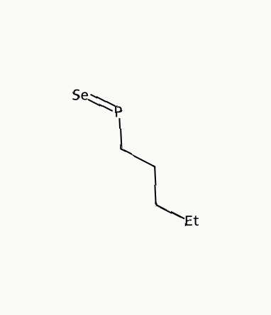 CCCCCP=[Se]